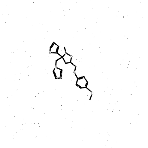 COc1ccc(OCC2CC(Cn3ccnc3)(c3cccs3)N(C)O2)cc1